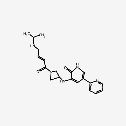 CC(C)NCC=CC(=O)N1CC(Nc2cc(-c3ccccn3)c[nH]c2=O)C1